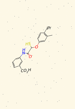 Cc1cc(OC(S)C(=O)Nc2cccc(C(=O)O)c2)ccc1C(C)C